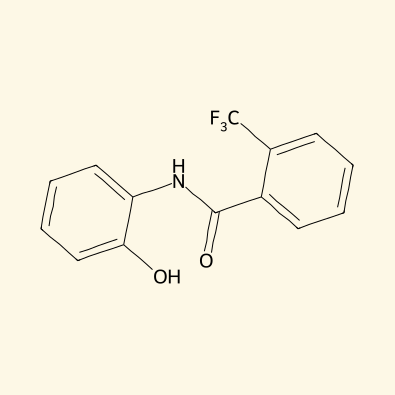 O=C(Nc1ccccc1O)c1ccccc1C(F)(F)F